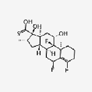 C[C@H]1C[C@H]2[C@@H]3C[C@H](F)C4=C(F)CCC[C@]4(C)[C@@]3(F)[C@@H](O)C[C@]2(C)[C@@]1(O)C(O)=S